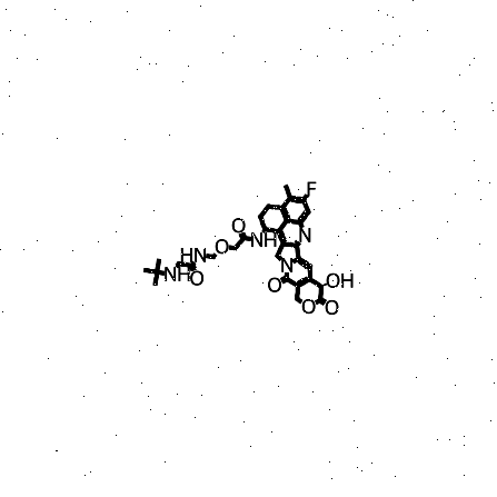 Cc1c(F)cc2nc3c(c4c2c1CC[C@@H]4NC(=O)COCNC(=O)CNC(C)(C)C)Cn1c-3cc2c(c1=O)COC(=O)[C@H]2O